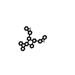 c1ccc2c(c1)-c1cc(-c3ccc4sc5ccccc5c4c3)ccc1-c1cc(-c3ccc4sc5ccccc5c4c3)ccc1-c1cc3c4ccccc4c4ccccc4c3cc1-2